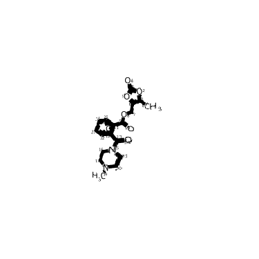 Cc1oc(=O)oc1COC(=O)c1c(C(=O)N2CCN(C)CC2)c2ccc1o2